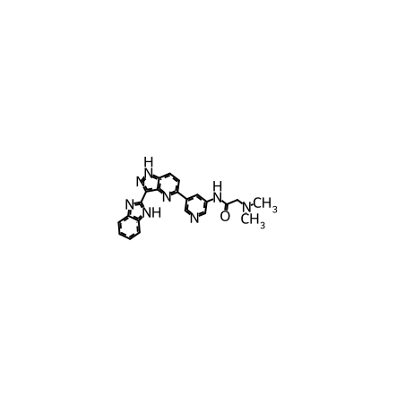 CN(C)CC(=O)Nc1cncc(-c2ccc3[nH]nc(-c4nc5ccccc5[nH]4)c3n2)c1